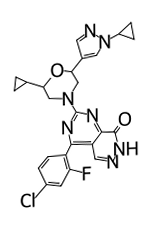 O=c1[nH]ncc2c(-c3ccc(Cl)cc3F)nc(N3CC(c4cnn(C5CC5)c4)OC(C4CC4)C3)nc12